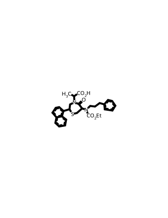 CCOC(=O)N(CCCc1ccccc1)C1CSC(c2cccc3ccccc23)CN(C(C)C(=O)O)C1=O